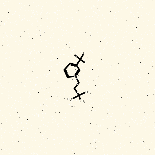 CC(C)(C)CCc1[c]ccc(C(F)(F)F)c1